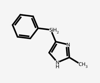 Cc1nc([SiH2]c2ccccc2)c[nH]1